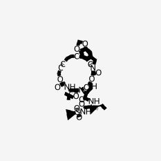 CC[C@H]1C[C@@]1(NC(=O)C1C[C@@H]2CN1C(=O)[C@H](C(C)(C)C)NC(=O)OCCCCCCc1c3c(cc4c1OCO4)CN(C3)C(=O)O2)C(=O)NS(=O)(=O)C1CC1